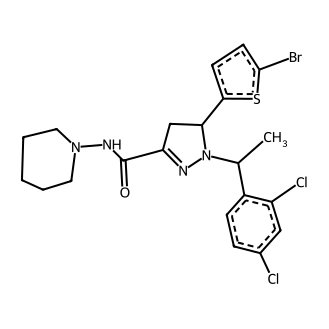 CC(c1ccc(Cl)cc1Cl)N1N=C(C(=O)NN2CCCCC2)CC1c1ccc(Br)s1